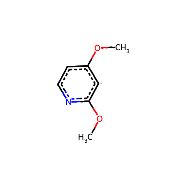 COc1[c]c(OC)ncc1